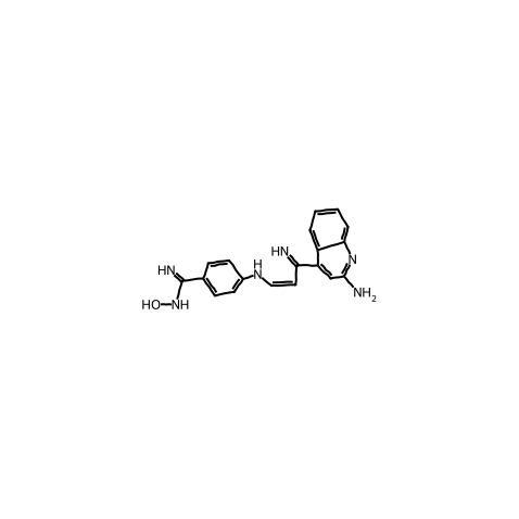 N=C(NO)c1ccc(N/C=C\C(=N)c2cc(N)nc3ccccc23)cc1